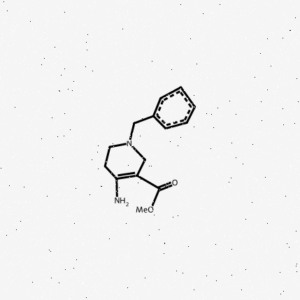 COC(=O)C1=C(N)CCN(Cc2ccccc2)C1